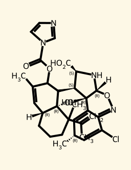 C=C(C)C1(C)CCC[C@@H]2C=C(C)C(OC(=O)n3ccnc3)C([C@H]3[C@@H](C(=O)O)N[C@@H]4ON=C5C(Cl)=C[C@H](C)C=C5[C@@]43O)[C@]21O